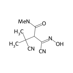 CNC(=O)C(C(C#N)=NO)C(C)(C)C#N